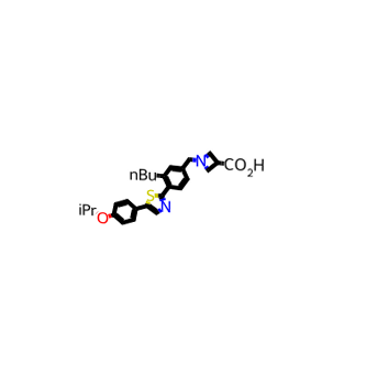 CCCCc1cc(CN2CC(C(=O)O)C2)ccc1-c1ncc(-c2ccc(OC(C)C)cc2)s1